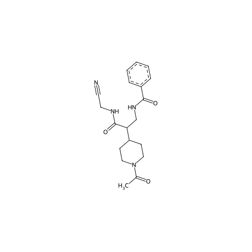 CC(=O)N1CCC(C(CNC(=O)c2ccccc2)C(=O)NCC#N)CC1